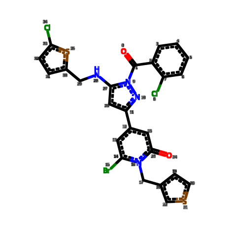 O=C(c1ccccc1Cl)n1nc(-c2cc(Br)n(Cc3ccsc3)c(=O)c2)cc1NCc1ccc(Cl)s1